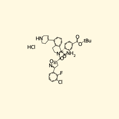 CC(C)(C)OC(=O)c1ccc([C@@]2(C(N)=O)c3cccc(C4=CCNCC4)c3CCN2C(=O)[C@H]2CC(c3cccc(Cl)c3F)=NO2)cc1.Cl